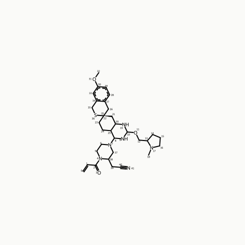 C=CC(=O)N1CCN(C2NC(OCC3CCCN3C)NC3C[C@]4(CCC32)Cc2ccc(OC)cc2CS4)CC1CC#N